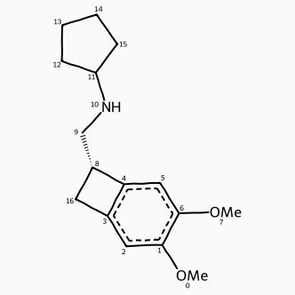 COc1cc2c(cc1OC)[C@@H](CNC1CCCC1)C2